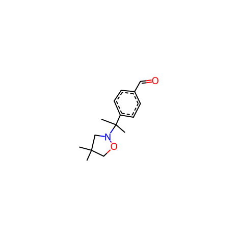 CC1(C)CON(C(C)(C)c2ccc(C=O)cc2)C1